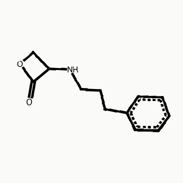 O=C1OCC1NCCCc1ccccc1